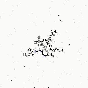 C\C=C/C(=C\C=C\S(C)(=O)=O)[C@@H](OC(=O)OCC)[C@@H](COC(=O)OCC)NC(=O)C(Cl)Cl